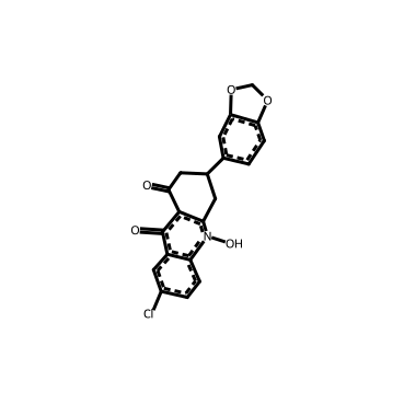 O=C1CC(c2ccc3c(c2)OCO3)Cc2c1c(=O)c1cc(Cl)ccc1n2O